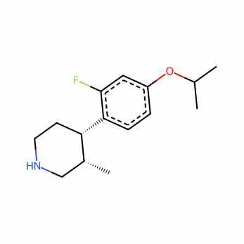 CC(C)Oc1ccc([C@H]2CCNC[C@H]2C)c(F)c1